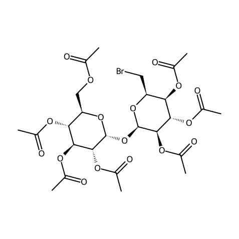 CC(=O)OC[C@H]1O[C@H](O[C@H]2O[C@@H](CBr)[C@@H](OC(C)=O)[C@H](OC(C)=O)[C@H]2OC(C)=O)[C@H](OC(C)=O)[C@@H](OC(C)=O)[C@@H]1OC(C)=O